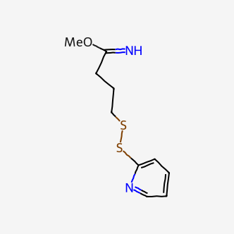 COC(=N)CCCSSc1ccccn1